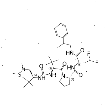 CSN(C)C[C@@H](NC(=O)N[C@H](C(=O)N1CCC[C@H]1C(=O)N[C@@H](CC(F)F)C(=O)NCC(C)c1ccccc1)C(C)(C)C)C(C)(C)C